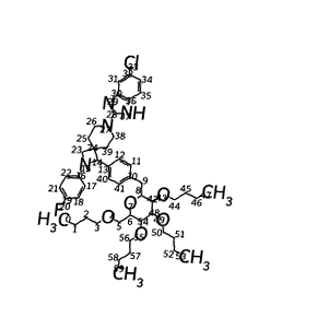 CCCCOCC1OC(Cc2ccc(C3N(c4ccc(F)cc4)CC34CCN(c3nc5cc(Cl)ccc5[nH]3)CC4)cc2)C(OCCCC)C(OCCCC)C1OCCCC